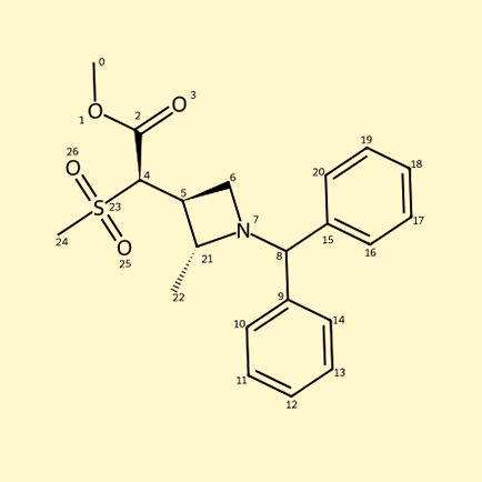 COC(=O)[C@@H]([C@H]1CN(C(c2ccccc2)c2ccccc2)[C@@H]1C)S(C)(=O)=O